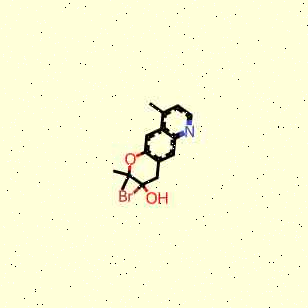 Cc1ccnc2cc3c(cc12)OC(C)(C)C(O)(Br)C3